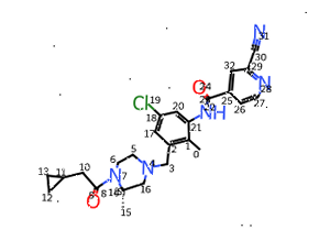 Cc1c(CN2CCN(C(=O)CC3CC3)[C@@H](C)C2)cc(Cl)cc1NC(=O)c1ccnc(C#N)c1